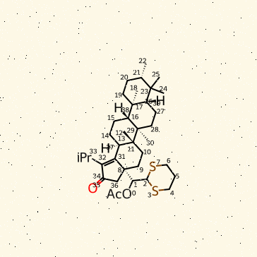 CC(=O)OC(C1SCCCS1)[C@@]12CC[C@]3(C)[C@H](CC[C@@H]4[C@@]5(C)CC[C@H](C)C(C)(C)[C@@H]5CC[C@]43C)C1=C(C(C)C)C(=O)C2